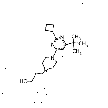 CC(C)(C)c1cc(N2CCN(CCCO)CC2)nc(C2CCC2)n1